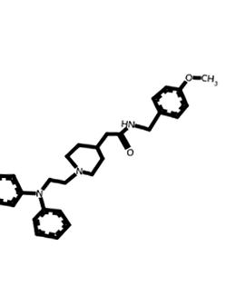 COc1ccc(CNC(=O)CC2CCN(CCN(c3ccccc3)c3ccccc3)CC2)cc1